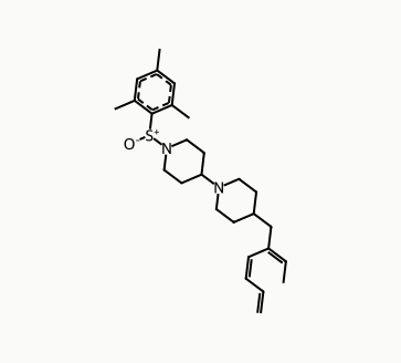 C=C/C=C\C(=C/C)CC1CCN(C2CCN([S+]([O-])c3c(C)cc(C)cc3C)CC2)CC1